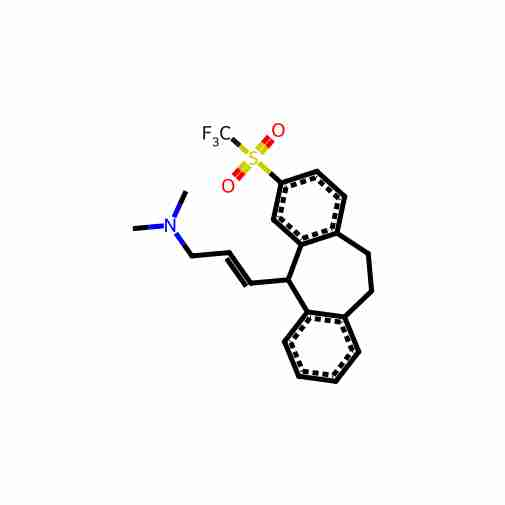 CN(C)C/C=C/C1c2ccccc2CCc2ccc(S(=O)(=O)C(F)(F)F)cc21